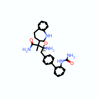 CC(C(N)=O)(C1CCc2ccccc2NC1=O)[C@](C)(N)Cc1ccc(-c2ccccc2NC(N)=O)cc1